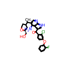 CC(c1cnc2[nH]cc(C(=O)c3ccc(Oc4ccccc4F)cc3Cl)c2c1N)C1CCO[C@H](CO)C1